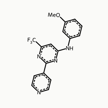 COc1cccc(Nc2cc(C(F)(F)F)nc(-c3ccncc3)n2)c1